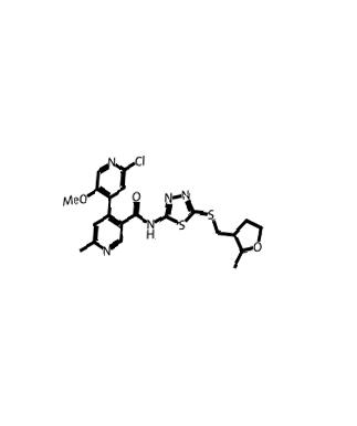 COc1cnc(Cl)cc1-c1cc(C)ncc1C(=O)Nc1nnc(SCC2CCOC2C)s1